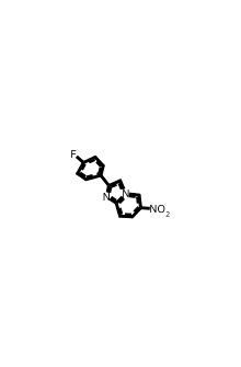 O=[N+]([O-])c1ccc2nc(-c3ccc(F)cc3)cn2c1